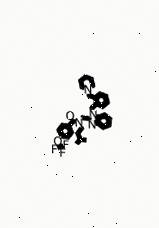 CC(C)CCN(Cc1nc2ccccc2n1Cc1ccccc1CN1CCCCC1)C(=O)c1ccc(OC(F)(F)F)cc1